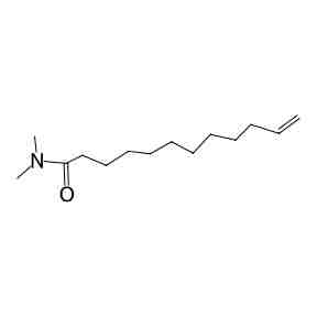 C=CCCCCCCCCCC(=O)N(C)C